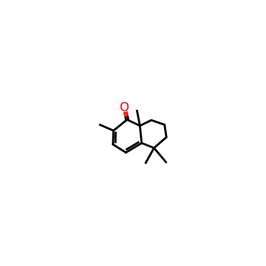 CC1=CC=C2C(C)(C)CCCC2(C)C1=O